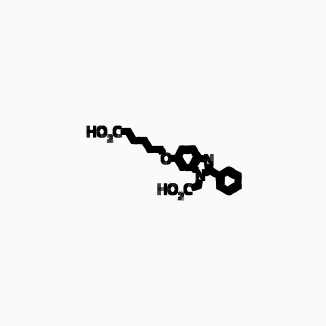 O=C(O)CCCCCOc1ccc2nc(-c3ccccc3)n(CC(=O)O)c2c1